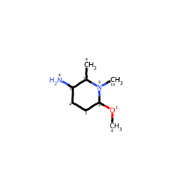 COC1CCC(N)C(C)N1C